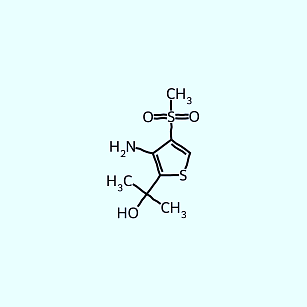 CC(C)(O)c1scc(S(C)(=O)=O)c1N